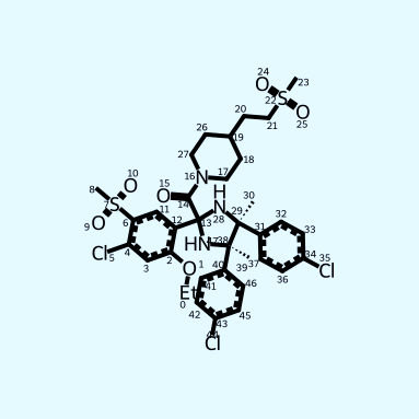 CCOc1cc(Cl)c(S(C)(=O)=O)cc1C1(C(=O)N2CCC(CCS(C)(=O)=O)CC2)N[C@@](C)(c2ccc(Cl)cc2)[C@@](C)(c2ccc(Cl)cc2)N1